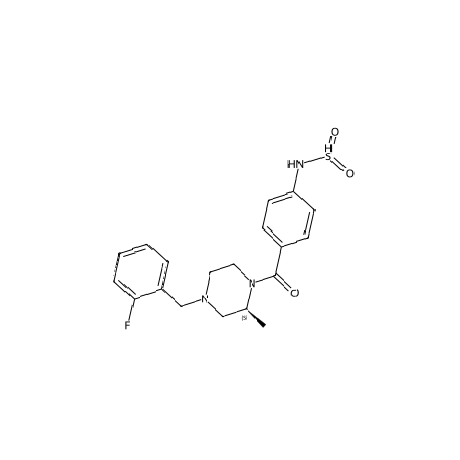 C[C@H]1CN(Cc2ccccc2F)CCN1C(=O)c1ccc(N[SH](=O)=O)cc1